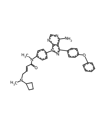 CN(C(=O)C=CCN(C)C1CCC1)c1ccc(-n2nc(-c3ccc(Oc4ccccc4)cc3)c3c(N)ncnc32)cc1